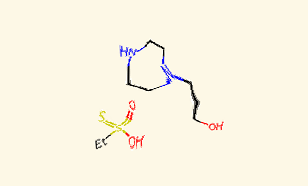 CCS(=O)(O)=S.OCCN1CCNCC1